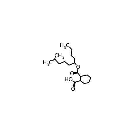 CCCCC(CCCC(C)C)OC(=O)C1CCCCC1C(=O)O